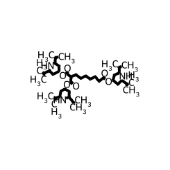 CC(C)C1CC(OC(=O)CCCCCCC(C(=O)OC2CC(C(C)C)NC(C(C)C)C2)C(=O)OC2CC(C(C)C)NC(C(C)C)C2)CC(C(C)C)N1